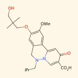 COc1cc2c(cc1OCC(C)(C)CO)CN(CC(C)C)n1cc(C(=O)O)c(=O)cc1-2